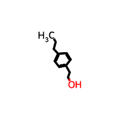 CCCc1ccc(CCO)cc1